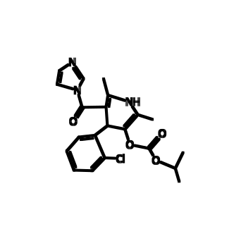 CC1=C(OC(=O)OC(C)C)C(c2ccccc2Cl)C(C(=O)n2ccnc2)=C(C)N1